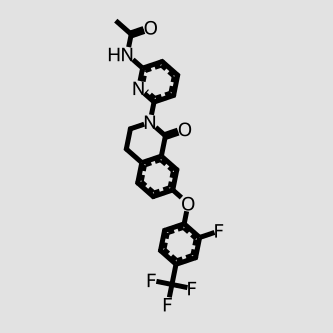 CC(=O)Nc1cccc(N2CCc3ccc(Oc4ccc(C(F)(F)F)cc4F)cc3C2=O)n1